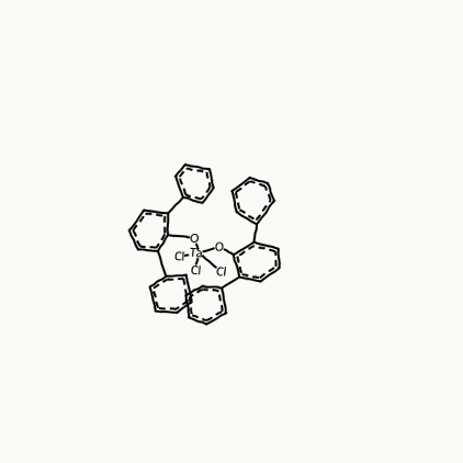 [Cl][Ta]([Cl])([Cl])([O]c1c(-c2ccccc2)cccc1-c1ccccc1)[O]c1c(-c2ccccc2)cccc1-c1ccccc1